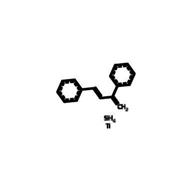 C=C(C=Cc1ccccc1)c1ccccc1.[SiH4].[Ti]